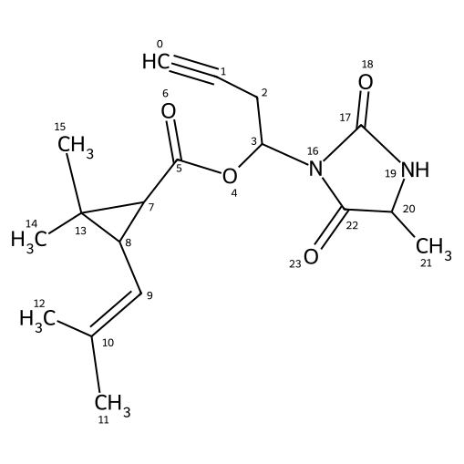 C#CCC(OC(=O)C1C(C=C(C)C)C1(C)C)N1C(=O)NC(C)C1=O